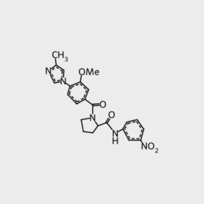 COc1cc(C(=O)N2CCCC2C(=O)Nc2cccc([N+](=O)[O-])c2)ccc1-n1cnc(C)c1